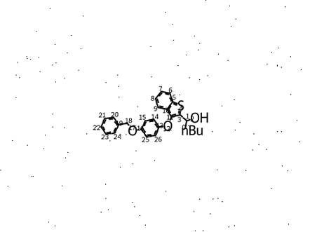 CCCCC(O)c1sc2ccccc2c1Oc1ccc(OCc2ccccc2)cc1